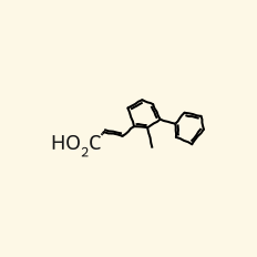 Cc1c(C=CC(=O)O)cccc1-c1ccccc1